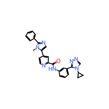 Cn1c(-c2ccnc(C(=O)Nc3cccc(-c4nncn4C4CC4)c3)c2)cnc1-c1ccccc1